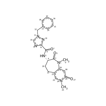 CN1C(=O)[C@@H](NC(=O)c2ncn(Cc3ccccc3)n2)CCc2cn(C)c(=O)cc21